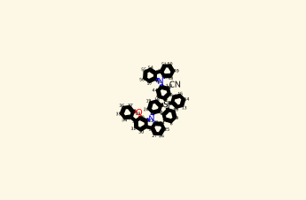 N#Cc1cc([Si](c2ccccc2)(c2ccccc2)c2cccc(-n3c4ccccc4c4ccc5c6ccccc6oc5c43)c2)ccc1-n1c2ccccc2c2ccccc21